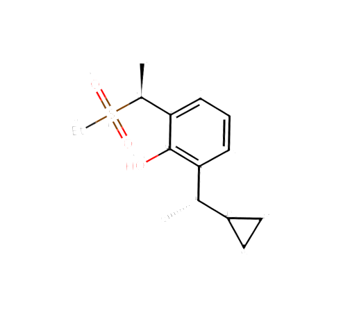 CCS(=O)(=O)[C@@H](C)c1cccc([C@@H](C)C2CC2)c1O